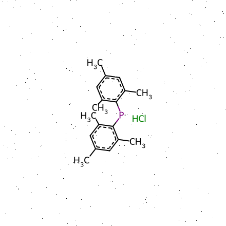 Cc1cc(C)c([P]c2c(C)cc(C)cc2C)c(C)c1.Cl